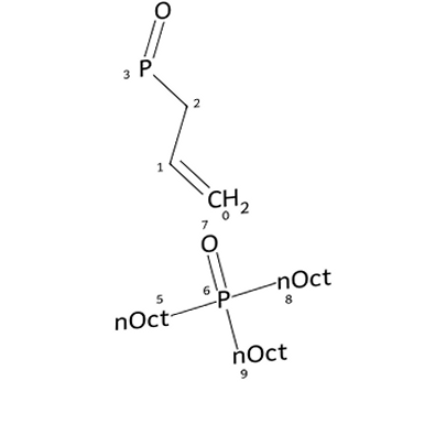 C=CCP=O.CCCCCCCCP(=O)(CCCCCCCC)CCCCCCCC